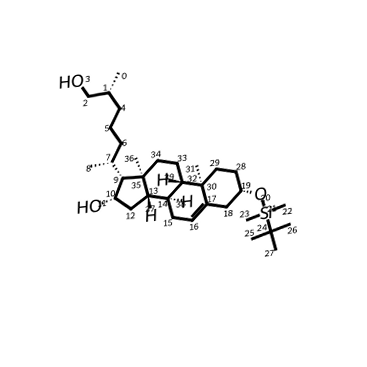 C[C@@H](CO)CCC[C@@H](C)[C@H]1[C@@H](O)C[C@H]2[C@@H]3CC=C4C[C@@H](O[Si](C)(C)C(C)(C)C)CC[C@]4(C)[C@H]3CC[C@]12C